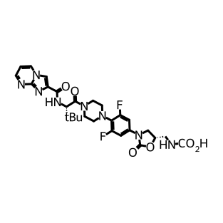 CC(C)(C)[C@H](NC(=O)c1cn2cccnc2n1)C(=O)N1CCN(c2c(F)cc(N3C[C@H](CNC(=O)O)OC3=O)cc2F)CC1